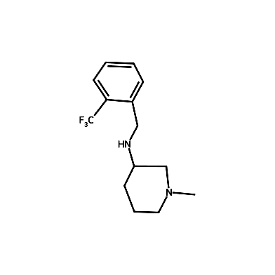 CN1CCCC(NCc2ccccc2C(F)(F)F)C1